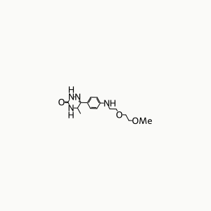 COCCOCCNc1ccc(C2=NNC(=O)NC2C)cc1